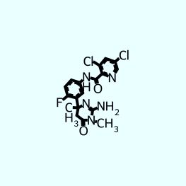 CN1C(=O)CC(C)(c2cc(NC(=O)c3ncc(Cl)cc3Cl)ccc2F)N=C1N